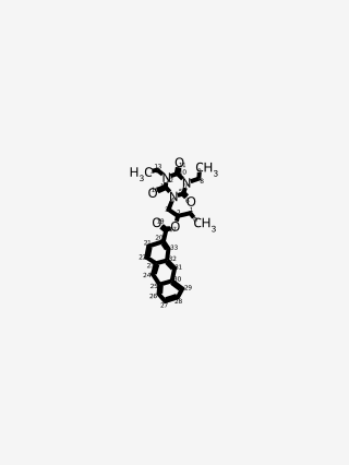 CCC(Cn1c(=O)n(CC)c(=O)n(CC)c1=O)OC(=O)c1ccc2cc3ccccc3cc2c1